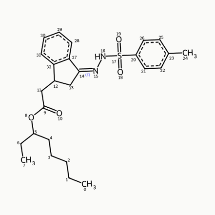 CCCCCC(CC)OC(=O)CC1C/C(=N/NS(=O)(=O)c2ccc(C)cc2)c2ccccc21